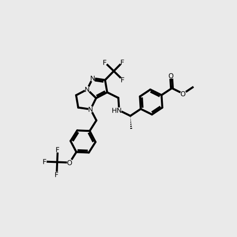 COC(=O)c1ccc([C@H](C)NCc2c(C(F)(F)F)nn3c2N(Cc2ccc(OC(F)(F)F)cc2)CC3)cc1